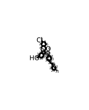 Cc1cc(Cl)ccc1C(=O)c1sc2cc(O)ccc2c1Oc1ccc(CCN2CC[C@H](C)C2)cc1